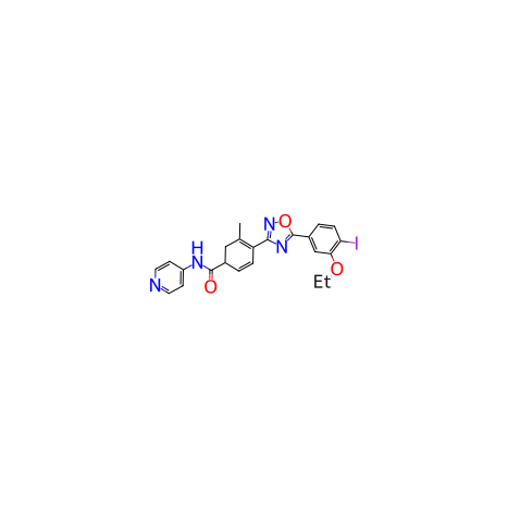 CCOc1cc(-c2nc(C3=C(C)CC(C(=O)Nc4ccncc4)C=C3)no2)ccc1I